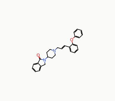 O=C1c2ccccc2CN1C1CCN(CC=Cc2ccccc2Oc2ccccc2)CC1